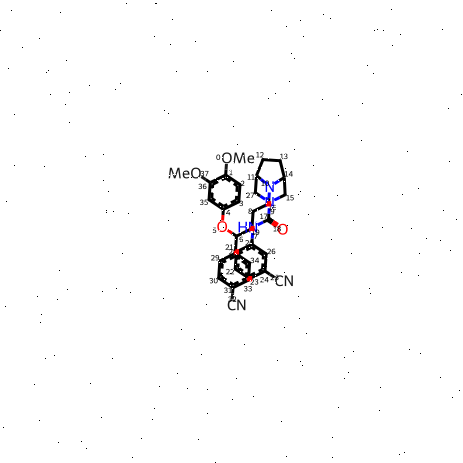 COc1ccc(OC(CCCN2C3CCC2CN(C(=O)Nc2cccc(C#N)c2)C3)c2ccc(C#N)cc2)cc1OC